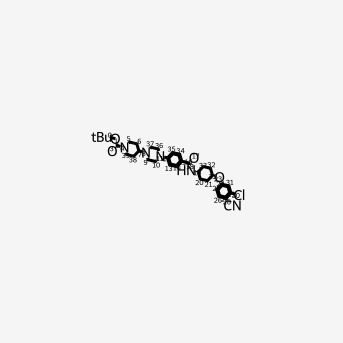 CC(C)(C)OC(=O)N1CCC(N2CCN(c3ccc(C(=O)N[C@H]4CC[C@H](Oc5ccc(C#N)c(Cl)c5)CC4)cc3)CC2)CC1